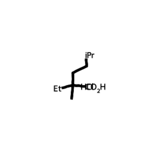 CCC(C)(CCC(C)C)C(=O)O.Cl